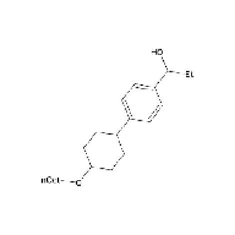 CCCCCCCCOC1CCC(c2ccc(C(O)CC)cc2)CC1